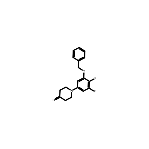 O=C1CCN(c2cc(F)c(F)c(OCc3ccccc3)c2)CC1